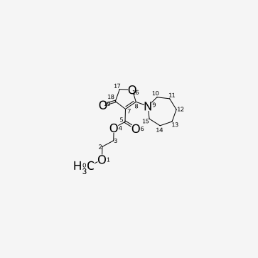 COCCOC(=O)C1=C(N2CCCCCC2)OCC1=O